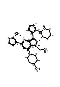 Cn1nccc1-c1cc(N2CCC(O)CC2)c2c(n1)c(-c1ccnn1C1CCCCO1)nn2CC(F)(F)F